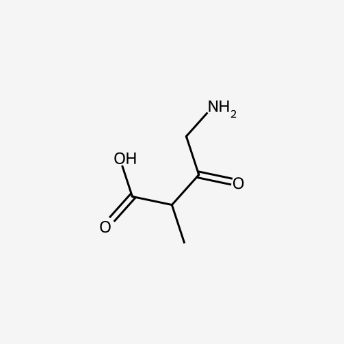 CC(C(=O)O)C(=O)CN